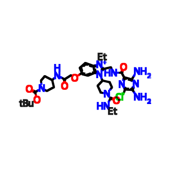 CCNC(=O)N1CCC(n2c(CNC(=O)c3nc(Cl)c(N)nc3N)[n+](CC)c3ccc(OCC(=O)NC4CCN(C(=O)OC(C)(C)C)CC4)cc32)CC1